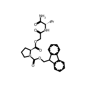 CC(C)[C@H](NC(=O)COC(=O)[C@@H]1CCCN1C(=O)OCC1c2ccccc2-c2ccccc21)C(N)=O